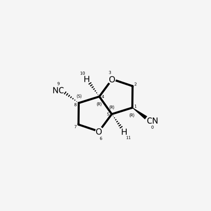 N#C[C@@H]1CO[C@H]2[C@@H]1OC[C@@H]2C#N